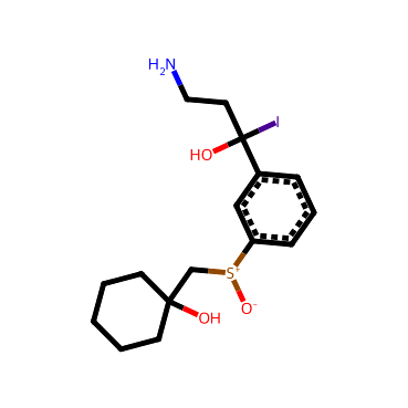 NCCC(O)(I)c1cccc([S+]([O-])CC2(O)CCCCC2)c1